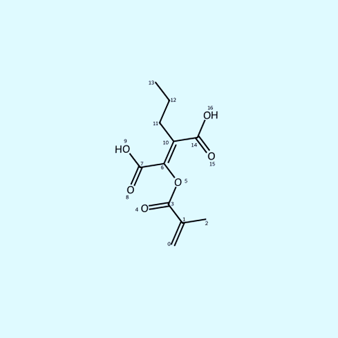 C=C(C)C(=O)OC(C(=O)O)=C(CCC)C(=O)O